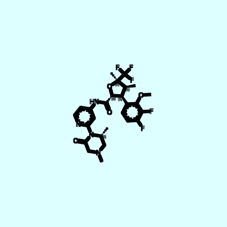 COc1c([C@H]2[C@H](C(=O)Nc3ccnc(N4C(=O)CN(C)C[C@H]4C)c3)O[C@@](C)(C(F)(F)F)[C@H]2C)ccc(F)c1F